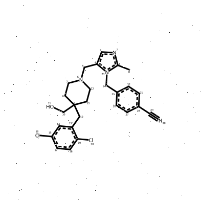 Cc1ncc(CN2CCC(CO)(Cc3cc(Cl)ccc3Cl)CC2)n1Cc1ccc(C#N)cc1